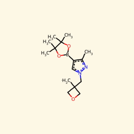 [CH2]C1(Cn2cc(B3OC(C)(C)C(C)(C)O3)c(C)n2)COC1